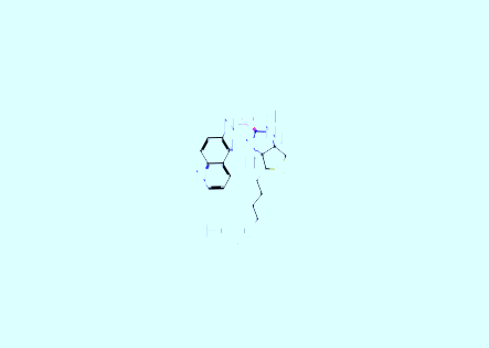 Nc1ccc2ncccc2c1.O=C(O)CCCC[C@@H]1SC[C@@H]2NC(=O)N[C@@H]21